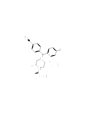 C[C@H]1CN(C(c2ccc(F)cc2)c2ccc(C#N)cc2)[C@H](CO)CN1C(=O)O